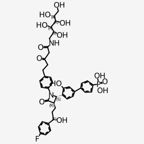 O=C(CCc1ccc(N2C(=O)[C@H](CC[C@H](O)c3ccc(F)cc3)[C@H]2c2ccc(-c3ccc(P(=O)(O)O)cc3)cc2O)cc1)CC(=O)NC[C@H](O)[C@@H](O)[C@H](O)[C@H](O)CO